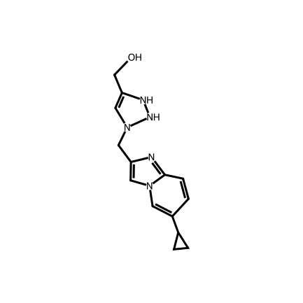 OCC1=CN(Cc2cn3cc(C4CC4)ccc3n2)NN1